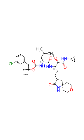 CC(C)C[C@H](NC(=O)OC1(Cc2cccc(Cl)c2)CCC1)C(=O)N[C@@H](CCC1CC2(CCOCC2)NC1=O)C(=O)C(=O)NC1CC1